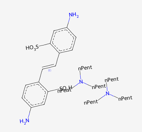 CCCCCN(CCCCC)CCCCC.CCCCCN(CCCCC)CCCCC.Nc1ccc(/C=C/c2ccc(N)cc2S(=O)(=O)O)c(S(=O)(=O)O)c1